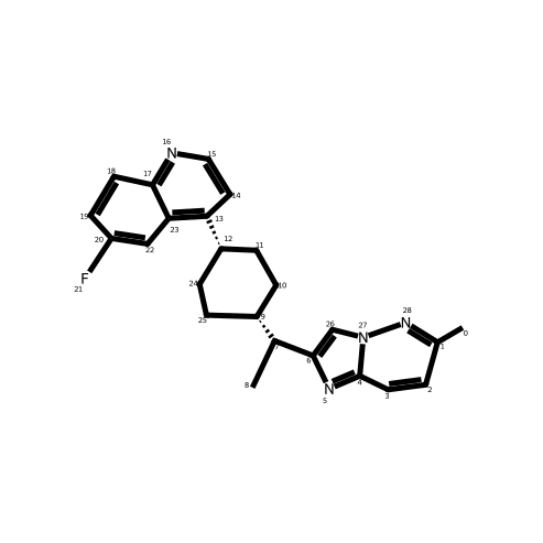 Cc1ccc2nc(C(C)[C@H]3CC[C@@H](c4ccnc5ccc(F)cc54)CC3)cn2n1